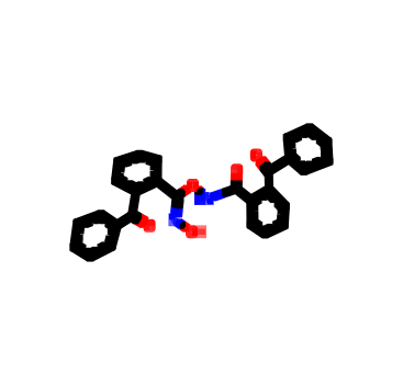 O=C(NOC(=NO)c1ccccc1C(=O)c1ccccc1)c1ccccc1C(=O)c1ccccc1